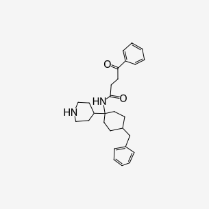 O=C(CCC(=O)c1ccccc1)NC1(C2CCNCC2)CCC(Cc2ccccc2)CC1